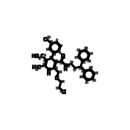 CC1=C(C(=O)O)C(c2cccc(Cl)c2)C(C(=O)NCCC(c2ccccc2)c2ccccc2)=C(COCCCl)N1